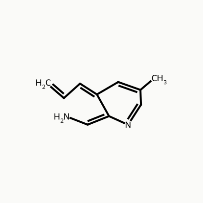 C=C/C=c1/cc(C)cn/c1=C/N